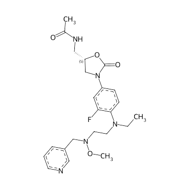 CCN(CCN(Cc1cccnc1)OC)c1ccc(N2C[C@H](CNC(C)=O)OC2=O)cc1F